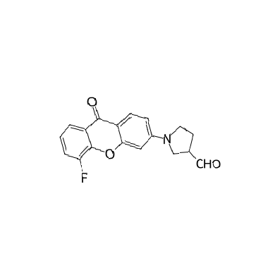 O=CC1CCN(c2ccc3c(=O)c4cccc(F)c4oc3c2)C1